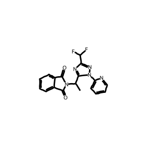 CC(c1nc(C(F)F)nn1-c1ccccn1)N1C(=O)c2ccccc2C1=O